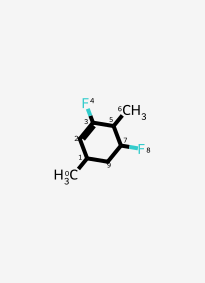 CC1C=C(F)C(C)C(F)C1